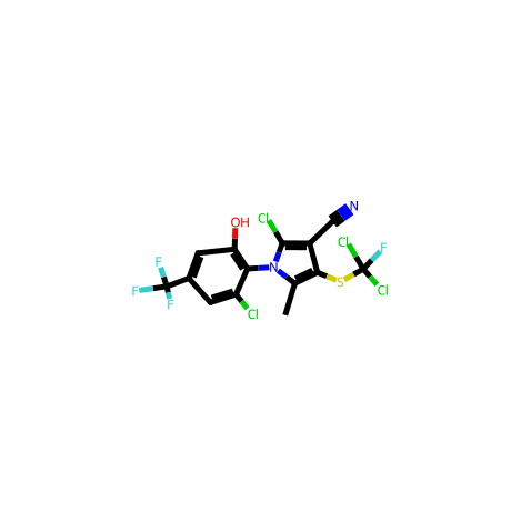 Cc1c(SC(F)(Cl)Cl)c(C#N)c(Cl)n1-c1c(O)cc(C(F)(F)F)cc1Cl